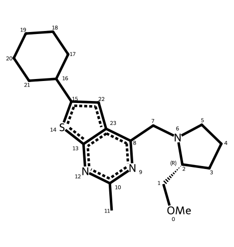 COC[C@H]1CCCN1Cc1nc(C)nc2sc(C3CCCCC3)cc12